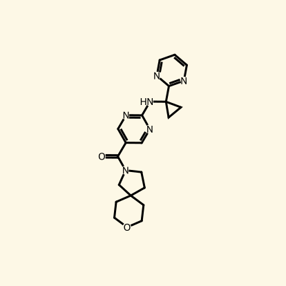 O=C(c1cnc(NC2(c3ncccn3)CC2)nc1)N1CCC2(CCOCC2)C1